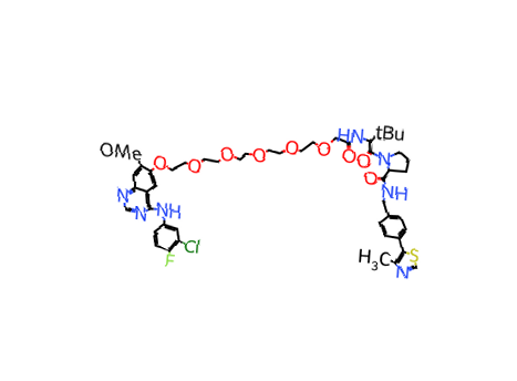 COc1cc2ncnc(Nc3ccc(F)c(Cl)c3)c2cc1OCCOCCOCCOCCOCCOCC(=O)NC(C(=O)N1CCCC1C(=O)NCc1ccc(-c2scnc2C)cc1)C(C)(C)C